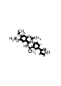 COc1cc2nc(C)nc(N[C@H](C)c3cccc(-c4cc[nH]n4)c3)c2cc1OC